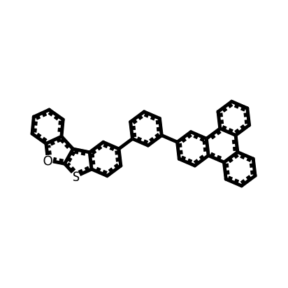 c1cc(-c2ccc3c4ccccc4c4ccccc4c3c2)cc(-c2ccc3sc4oc5ccccc5c4c3c2)c1